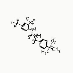 CC(C)(C)c1ccc(C(=O)NC(=S)Nc2ccc(C(F)(F)F)cc2C(F)(F)F)cc1